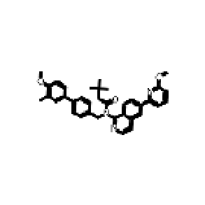 COc1cccc(-c2ccc3c(N(Cc4ccc(-c5ccc(OC)c(C)c5)cc4)C(=O)CC(C)(C)C)nccc3c2)n1